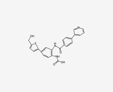 O=C(O)Nc1ccc(-c2ccc(CO)s2)cc1NC(=O)c1ccc(-c2cccnc2)cc1